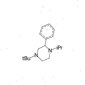 CC(C)N1CCN(C(C)(C)C)CC1c1ccccc1